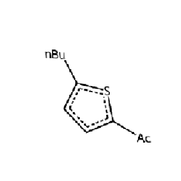 CCCCc1ccc(C(C)=O)s1